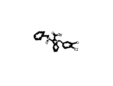 O=C(O)c1c([S+]([O-])Cc2ccccc2)c2ccccc2n1Cc1ccc(Cl)c(Cl)c1